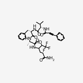 CC(C)[C@H](NC(=O)C#Cc1ccccc1)C(=O)N[C@@H](Cc1ccccc1)C(=O)N[C@@H](C)C(=O)NC(CCC(N)=O)C(O)C(F)(F)F